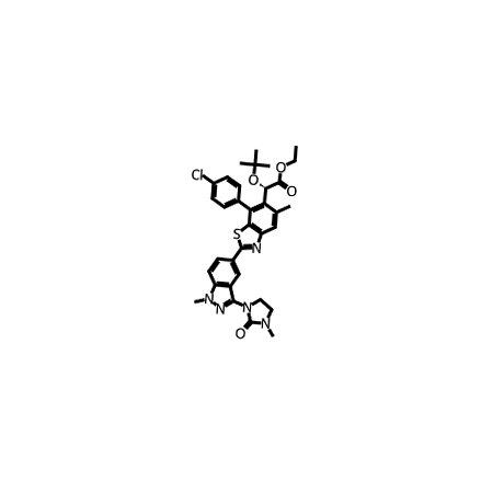 CCOC(=O)[C@@H](OC(C)(C)C)c1c(C)cc2nc(-c3ccc4c(c3)c(N3CCN(C)C3=O)nn4C)sc2c1-c1ccc(Cl)cc1